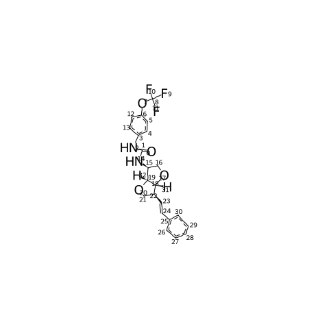 O=C(Nc1ccc(OC(F)(F)F)cc1)N[C@H]1CO[C@H]2[C@@H]1OC[C@@H]2C=Cc1ccccc1